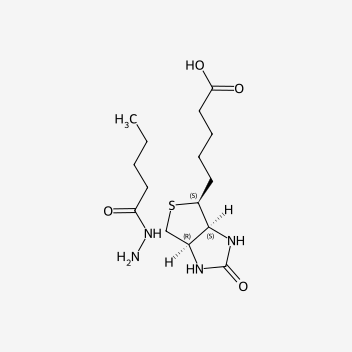 CCCCC(=O)NN.O=C(O)CCCC[C@@H]1SC[C@@H]2NC(=O)N[C@@H]21